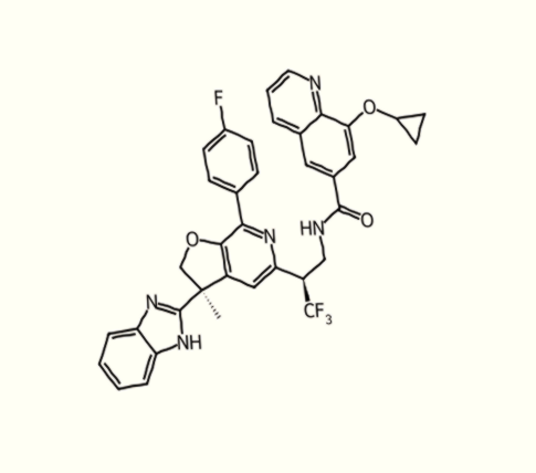 C[C@]1(c2nc3ccccc3[nH]2)COc2c1cc([C@@H](CNC(=O)c1cc(OC3CC3)c3ncccc3c1)C(F)(F)F)nc2-c1ccc(F)cc1